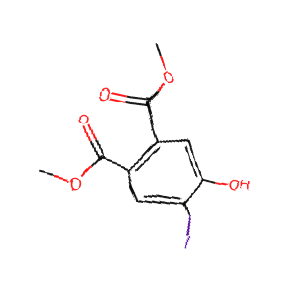 COC(=O)c1cc(O)c(I)cc1C(=O)OC